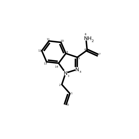 C=CCn1nc(C(=C)N)c2ccccc21